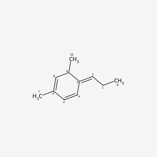 CCC=C1C=CC(C)=CC1C